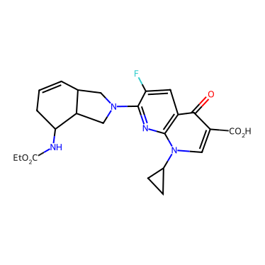 CCOC(=O)NC1CC=CC2CN(c3nc4c(cc3F)c(=O)c(C(=O)O)cn4C3CC3)CC21